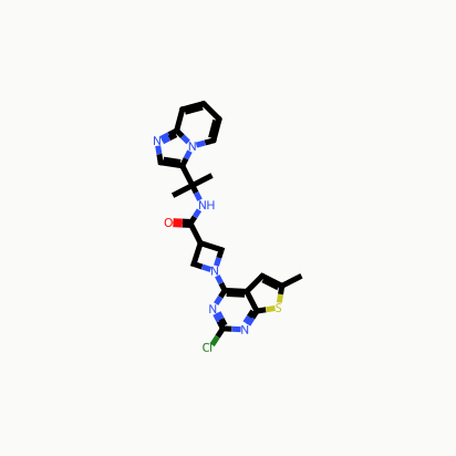 Cc1cc2c(N3CC(C(=O)NC(C)(C)c4cnc5ccccn45)C3)nc(Cl)nc2s1